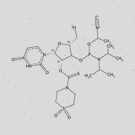 [2H]C[C@H]1O[C@@H](n2ccc(=O)[nH]c2=O)[C@@H](OC(=S)N2CCS(=O)(=O)CC2)C1OP(OC(C)[N+]#[C-])N(C(C)C)C(C)C